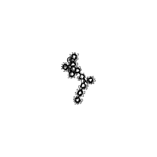 C1=CC(N(C2=CCC(c3ccc(-c4cc5c6ccccc6oc5c5c6ccccc6n(-c6ccccc6)c45)cc3)C=C2)c2ccccc2)CC=C1c1ccc(-c2ccccc2)cc1